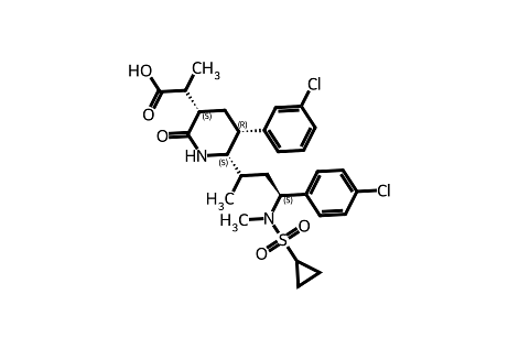 CC(C(=O)O)[C@@H]1C[C@H](c2cccc(Cl)c2)[C@H](C(C)C[C@@H](c2ccc(Cl)cc2)N(C)S(=O)(=O)C2CC2)NC1=O